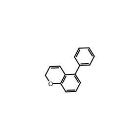 C1=Cc2c(cccc2-c2ccccc2)OC1